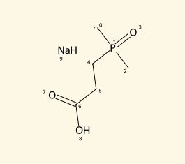 [CH2]P(C)(=O)CCC(=O)O.[NaH]